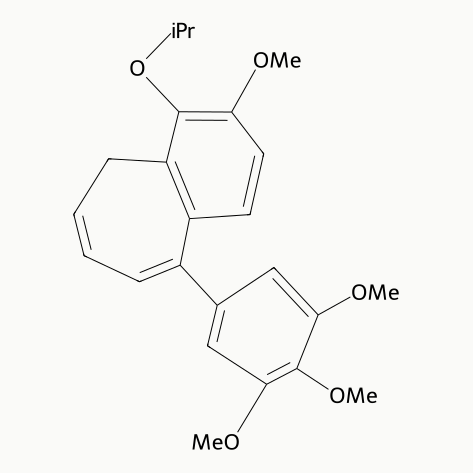 COc1cc(C2=CC=CCc3c2ccc(OC)c3OC(C)C)cc(OC)c1OC